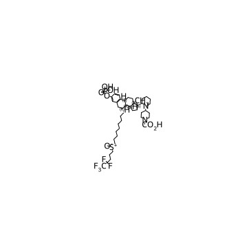 C[C@]12CC[C@@H]3c4ccc(OP(=O)(O)O)cc4C[C@@H](CCCCCCCCC[S+]([O-])CCCC(F)(F)C(F)(F)F)[C@@H]3[C@@H]1CC[C@@H]2C1CCCCN1C1CCN(C(=O)O)CC1